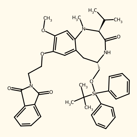 COc1cc2c(cc1OCCN1C(=O)c3ccccc3C1=O)C[C@@H](CO[Si](c1ccccc1)(c1ccccc1)C(C)(C)C)NC(=O)[C@H](C(C)C)N2C